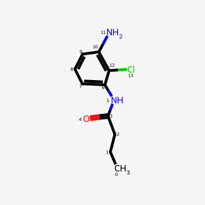 CCCC(=O)Nc1cccc(N)c1Cl